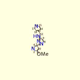 COc1cncc(-c2nccc(NCc3ccncc3)n2)c1